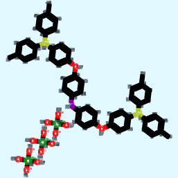 Cc1ccc([S+](c2ccc(C)cc2)c2ccc(Oc3ccc([I+]c4ccc(Oc5ccc([S+](c6ccc(C)cc6)c6ccc(C)cc6)cc5)cc4)cc3)cc2)cc1.[O-][Cl+3]([O-])([O-])[O-].[O-][Cl+3]([O-])([O-])[O-].[O-][Cl+3]([O-])([O-])[O-]